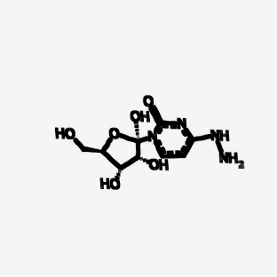 NNc1ccn([C@]2(O)O[C@H](CO)[C@@H](O)[C@H]2O)c(=O)n1